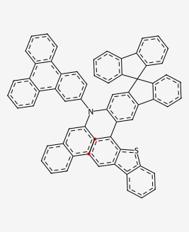 c1ccc2c(c1)-c1ccccc1C21c2ccccc2-c2cc(-c3cccc4c3sc3ccccc34)c(N(c3ccc4ccccc4c3)c3ccc4c5ccccc5c5ccccc5c4c3)cc21